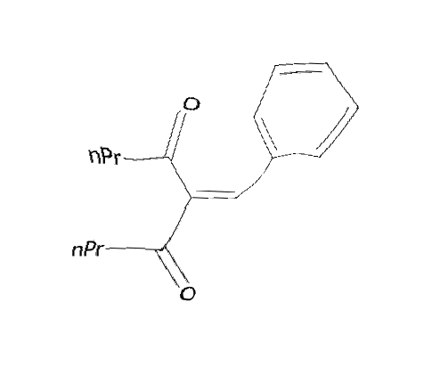 CCCC(=O)C(=Cc1ccccc1)C(=O)CCC